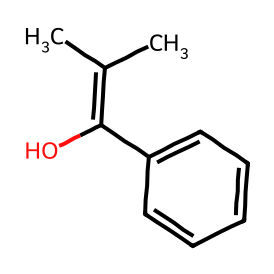 CC(C)=C(O)c1ccccc1